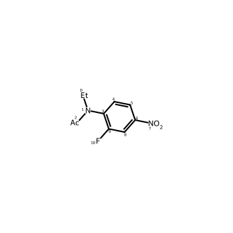 CCN(C(C)=O)c1ccc([N+](=O)[O-])cc1F